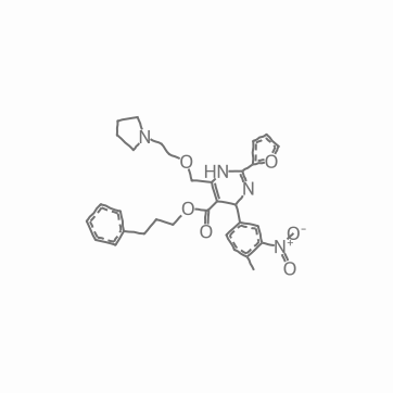 Cc1ccc(C2N=C(c3ccco3)NC(COCCN3CCCC3)=C2C(=O)OCCCc2ccccc2)cc1[N+](=O)[O-]